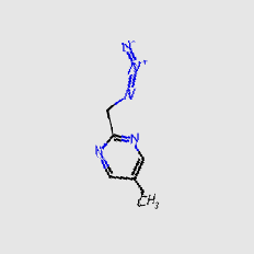 Cc1cnc(CN=[N+]=[N-])nc1